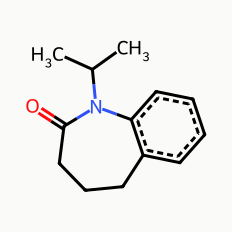 CC(C)N1C(=O)CCCc2ccccc21